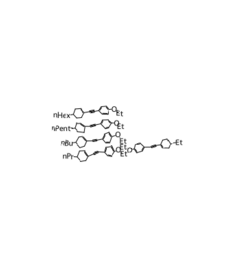 CCCC1CC=C(C#Cc2ccc(OCC)cc2)CC1.CCCCC1CC=C(C#Cc2ccc(OCC)cc2)CC1.CCCCCC1CC=C(C#Cc2ccc(OCC)cc2)CC1.CCCCCCC1CC=C(C#Cc2ccc(OCC)cc2)CC1.CCOc1ccc(C#CC2=CCC(CC)CC2)cc1